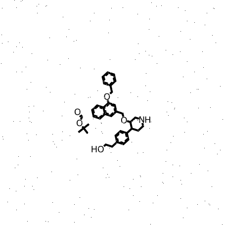 CC(C)(C)OC=O.OCCc1ccc(C2CCNCC2OCc2cc(OCc3ccccc3)c3ccccc3c2)cc1